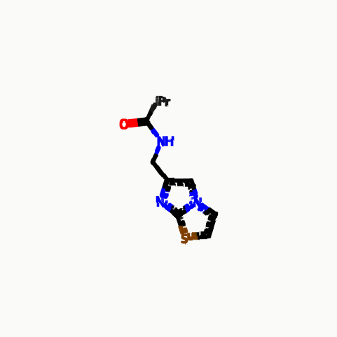 CC(C)C(=O)NCc1cn2ccsc2n1